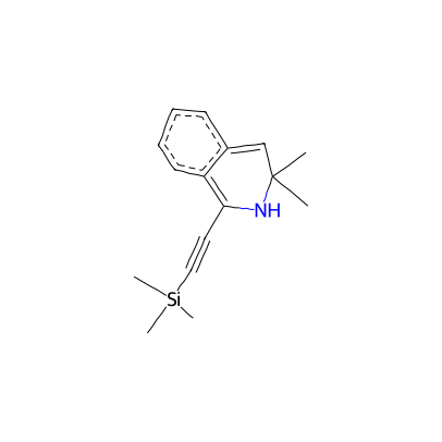 CC1(C)C=c2ccccc2=C(C#C[Si](C)(C)C)N1